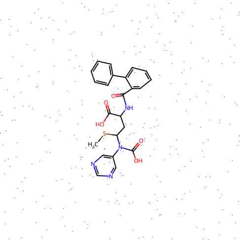 CSC(CC(NC(=O)c1ccccc1-c1ccccc1)C(=O)O)N(C(=O)O)c1cncnc1